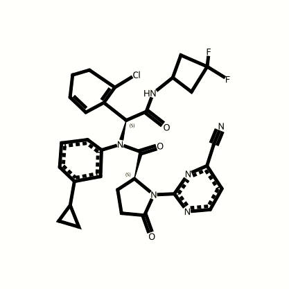 N#Cc1ccnc(N2C(=O)CC[C@H]2C(=O)N(c2cccc(C3CC3)c2)[C@H](C(=O)NC2CC(F)(F)C2)C2=C(Cl)CCC=C2)n1